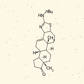 CCCCNC1=NC2C3=CC[C@@H]4[C@H](CC[C@]5(C)C(=O)CC[C@@H]45)[C@@]3(C)CCC2S1